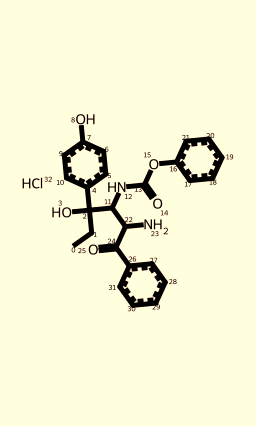 CCC(O)(c1ccc(O)cc1)C(NC(=O)Oc1ccccc1)C(N)C(=O)c1ccccc1.Cl